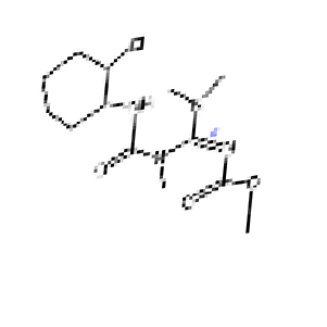 COC(=O)/N=C(/N(C)C)N(C)C(=O)NC1CCCCC1Cl